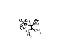 C=C(C)C(=O)NCCC.COS(=O)(=O)O